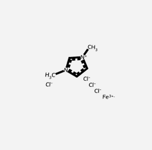 Cn1cc[n+](C)c1.[Cl-].[Cl-].[Cl-].[Cl-].[Fe+3]